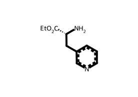 CCOC(=O)[C@H](N)Cc1cccnc1